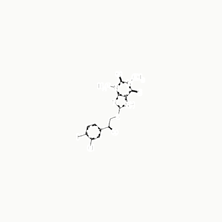 Cn1c(=S)c2[nH]c(SCC(=O)c3ccc(I)c(Cl)c3)nc2n(C)c1=O